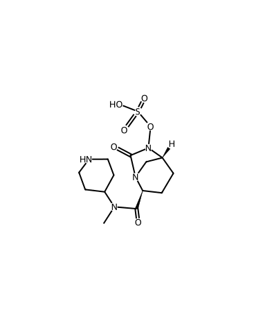 CN(C(=O)[C@@H]1CC[C@@H]2CN1C(=O)N2OS(=O)(=O)O)C1CCNCC1